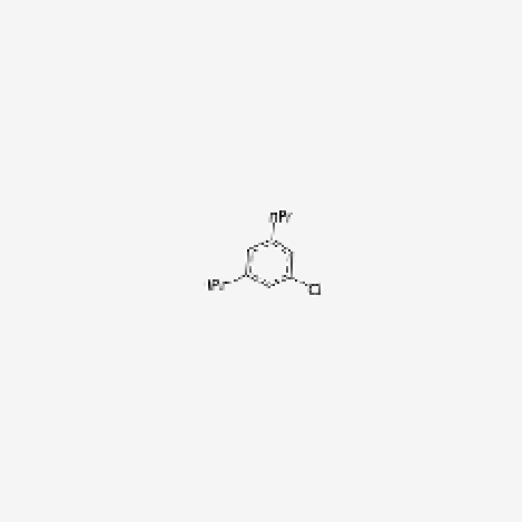 CCCc1cc(Cl)cc([C](C)C)c1